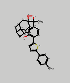 COc1ccc(-c2ccc(-c3ccc(C4(OC)OOC45C4CC6CC7CC5CC67C4)cc3O)s2)cc1